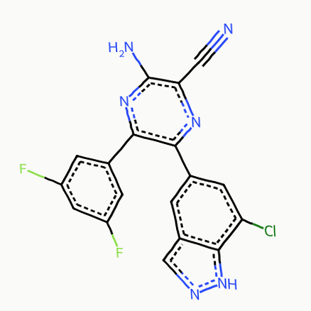 N#Cc1nc(-c2cc(Cl)c3[nH]ncc3c2)c(-c2cc(F)cc(F)c2)nc1N